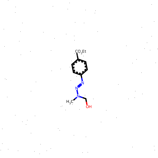 CCOC(=O)c1ccc(N=NN(C)CO)cc1